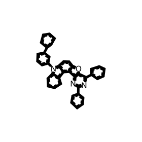 c1ccc(-c2cccc(-n3c4ccccc4c4c5c(ccc43)oc3c(-c4ccccc4)nc(-c4ccccc4)nc35)c2)cc1